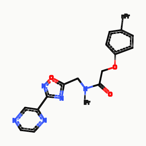 CCCc1ccc(OCC(=O)N(Cc2nc(-c3cnccn3)no2)C(C)C)cc1